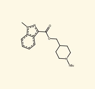 CCCCN1CCC(COC(=O)c2nn(C)c3ccccc23)CC1